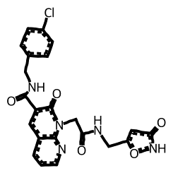 O=C(Cn1c(=O)c(C(=O)NCc2ccc(Cl)cc2)cc2cccnc21)NCc1cc(=O)[nH]o1